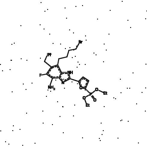 CCOP(=O)(OCC)c1ccc(-c2nc3c(N)c(F)c(CC(C)C)c(CCCCBr)c3[nH]2)o1